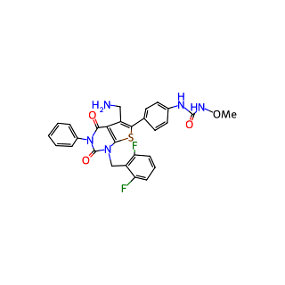 CONC(=O)Nc1ccc(-c2sc3c(c2CN)c(=O)n(-c2ccccc2)c(=O)n3Cc2c(F)cccc2F)cc1